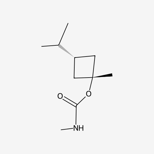 CNC(=O)O[C@]1(C)C[C@H](C(C)C)C1